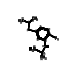 CC(C)Cc1ccc(F)c(NC(C)C)c1